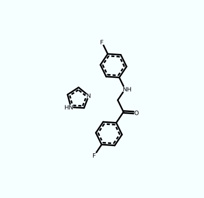 O=C(CNc1ccc(F)cc1)c1ccc(F)cc1.c1c[nH]cn1